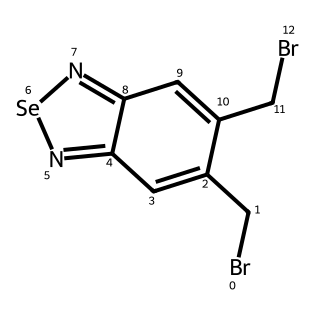 BrCc1cc2n[se]nc2cc1CBr